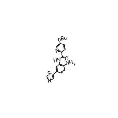 CCCCc1ccc(C(=O)Nc2cc(-c3cncs3)ccc2N)nc1